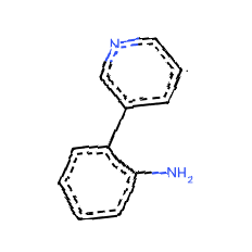 Nc1ccccc1-c1c[c]cnc1